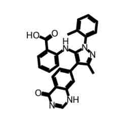 Cc1ccccc1-n1nc(C)c(-c2ccc3c(=O)nc[nH]c3c2)c1Nc1ccccc1C(=O)O